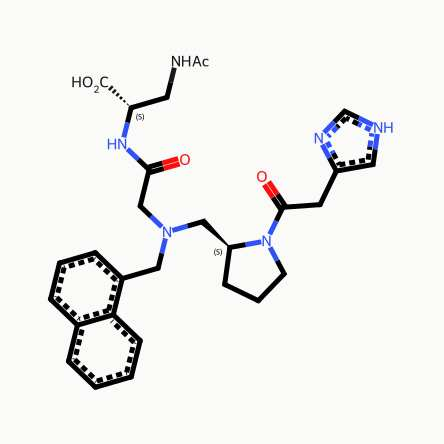 CC(=O)NC[C@H](NC(=O)CN(Cc1cccc2ccccc12)C[C@@H]1CCCN1C(=O)Cc1c[nH]cn1)C(=O)O